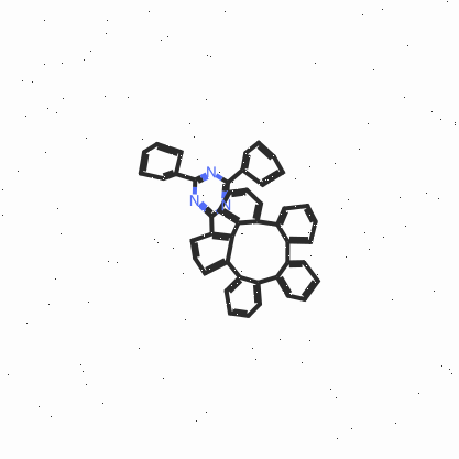 c1ccc(-c2nc(-c3ccccc3)nc(-c3cccc4c5ccccc5c5ccccc5c5ccccc5c5ccccc5c34)n2)cc1